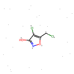 Oc1noc(CCl)c1Cl